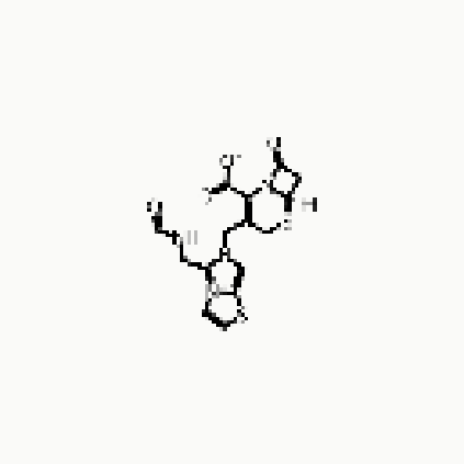 O=CNCc1n(CC2=C(C(=O)[O-])N3C(=O)C[C@H]3SC2)cc2scc[n+]12